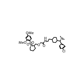 COc1ccc(S(=O)(=O)N2CCCCC2COCC(=O)NCCC2CCC(C(c3ccc(Cl)cc3)N(C)C)CC2)c(OC)c1